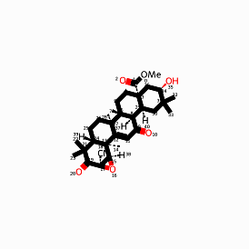 COC(=O)[C@@]12CC[C@]3(C)[C@H](C(=O)C=C4[C@@]5(C)[C@H]6O[C@@]6(C#N)C(=O)C(C)(C)[C@@H]5CC[C@]43C)[C@@H]1CC(C)(C)[C@@H](O)C2